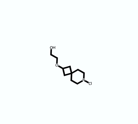 OCCOC1CC2(CCN(Cl)CC2)C1